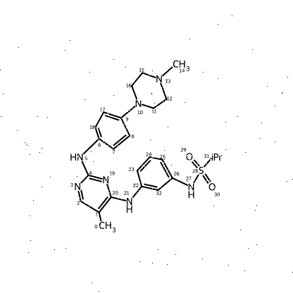 Cc1cnc(Nc2ccc(N3CCN(C)CC3)cc2)nc1Nc1cccc(NS(=O)(=O)C(C)C)c1